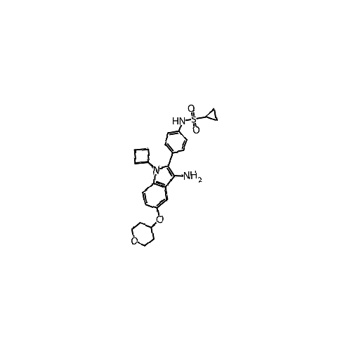 Nc1c(-c2ccc(NS(=O)(=O)C3CC3)cc2)n(C2CCC2)c2ccc(OC3CCOCC3)cc12